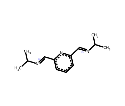 CC(C)/N=C/c1cccc(/C=N/C(C)C)n1